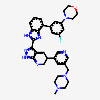 CN1CCN(Cc2cncc(C3C=c4c(-c5nc6c(-c7cc(F)cc(N8CCOCC8)c7)cccc6[nH]5)n[nH]c4=NC3)c2)CC1